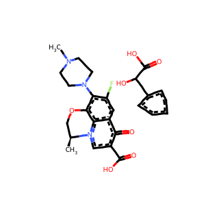 C[C@H]1COc2c(N3CCN(C)CC3)c(F)cc3c(=O)c(C(=O)O)cn1c23.O=C(O)C(O)c1ccccc1